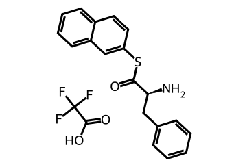 N[C@@H](Cc1ccccc1)C(=O)Sc1ccc2ccccc2c1.O=C(O)C(F)(F)F